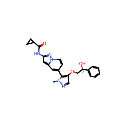 Cn1ncc(OC[C@@H](O)c2ccccc2)c1-c1ccn2nc(NC(=O)C3CC3)cc2c1